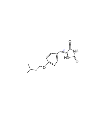 CC(C)CCOc1ccc(/C=C2\NC(=O)NC2=O)cc1